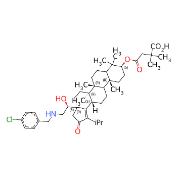 CC(C)C1=C2[C@H]3CCC4[C@@]5(C)CC[C@H](OC(=O)CC(C)(C)C(=O)O)C(C)(C)C5CC[C@@]4(C)[C@]3(C)CC[C@@]2([C@H](O)CNCc2ccc(Cl)cc2)CC1=O